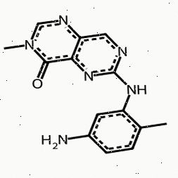 Cc1ccc(N)cc1Nc1ncc2ncn(C)c(=O)c2n1